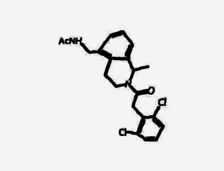 CC(=O)NCc1cccc2c1CCN(C(=O)Cc1c(Cl)cccc1Cl)C2C